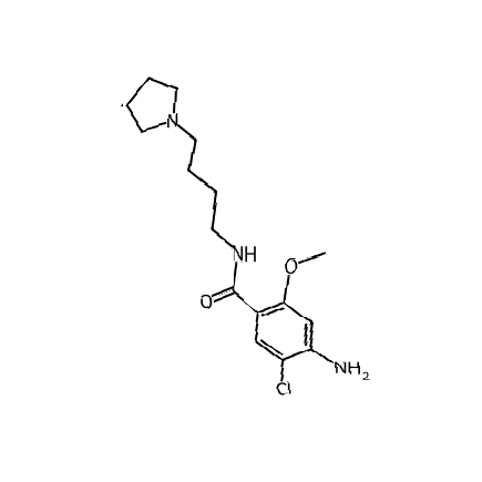 COc1cc(N)c(Cl)cc1C(=O)NCCCCN1C[CH]CC1